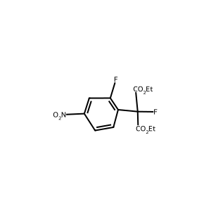 CCOC(=O)C(F)(C(=O)OCC)c1ccc([N+](=O)[O-])cc1F